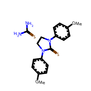 COc1ccc(N2CCN(c3ccc(OC)cc3)C2=S)cc1.NC(N)=S